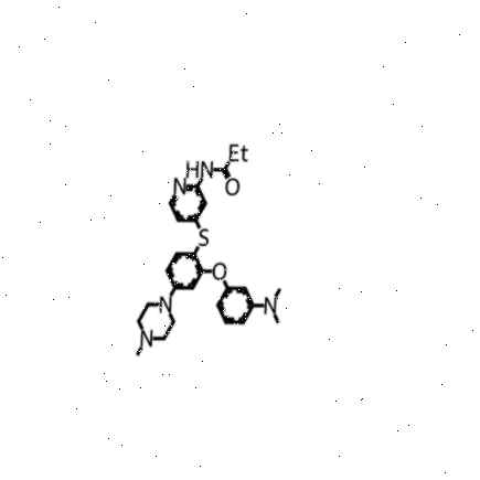 CCC(=O)Nc1cc(Sc2ccc(N3CCN(C)CC3)cc2Oc2cccc(N(C)C)c2)ccn1